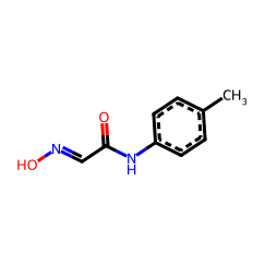 Cc1ccc(NC(=O)/C=N/O)cc1